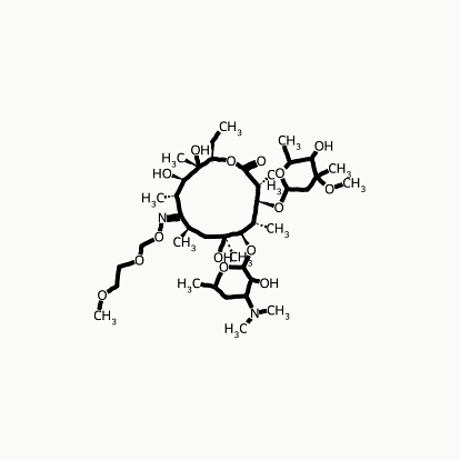 CC[C@H]1OC(=O)[C@H](C)[C@@H](OC2CC(C)(OC)C(O)C(C)O2)[C@H](C)[C@@H](OC2OC(C)CC(N(C)C)C2O)[C@@](C)(O)C[C@@H](C)/C(=N\OCOCCOC)[C@H](C)[C@@H](O)[C@]1(C)O